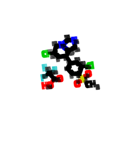 CS(=O)(=O)c1ccc(-c2cc(Cl)cn3cncc23)cc1Cl.O=C(O)C(F)(F)F